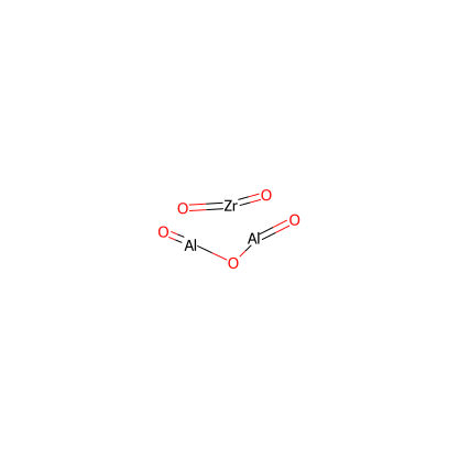 [O]=[Al][O][Al]=[O].[O]=[Zr]=[O]